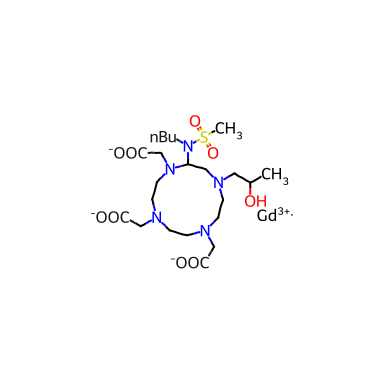 CCCCN(C1CN(CC(C)O)CCN(CC(=O)[O-])CCN(CC(=O)[O-])CCN1CC(=O)[O-])S(C)(=O)=O.[Gd+3]